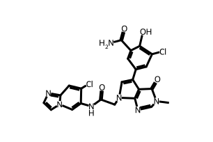 Cn1cnc2c(c(-c3cc(Cl)c(O)c(C(N)=O)c3)cn2CC(=O)Nc2cn3ccnc3cc2Cl)c1=O